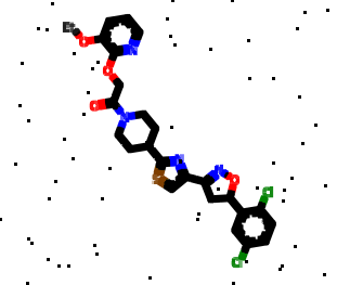 CCOc1cccnc1OCC(=O)N1CCC(c2nc(C3=NOC(c4cc(Cl)ccc4Cl)C3)cs2)CC1